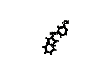 N#Cc1cccc(Nc2nc3ccccn3n2)c1